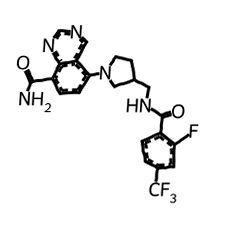 NC(=O)c1ccc(N2CCC(CNC(=O)c3ccc(C(F)(F)F)cc3F)C2)c2cncnc12